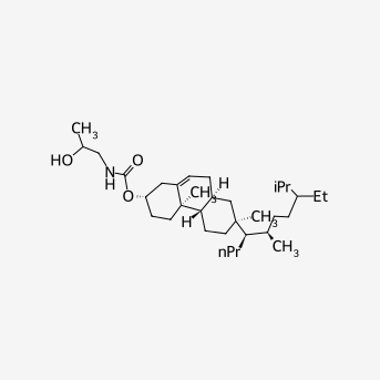 CCC[C@H]([C@H](C)CCC(CC)C(C)C)[C@@]1(C)CC[C@H]2[C@@H](CC=C3C[C@@H](OC(=O)NCC(C)O)CC[C@@]32C)C1